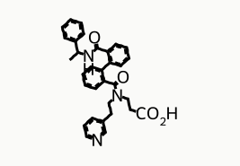 CC(NC(=O)c1ccccc1-c1ccccc1C(=O)N(CCC(=O)O)CCc1cccnc1)c1ccccc1